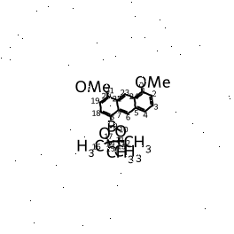 COc1cccc2cc3c(B4OC(C)(C)C(C)(C)O4)ccc(OC)c3cc12